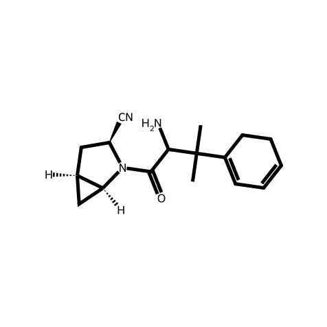 CC(C)(C1=CC=CCC1)C(N)C(=O)N1[C@H](C#N)C[C@@H]2C[C@@H]21